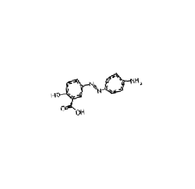 Nc1ccc(N=Nc2ccc(O)c(C(=O)O)c2)cc1